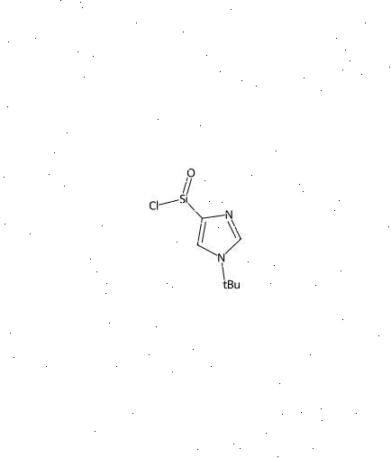 CC(C)(C)n1cnc([Si](=O)Cl)c1